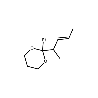 CC=CC(C)C1(CC)OCCCO1